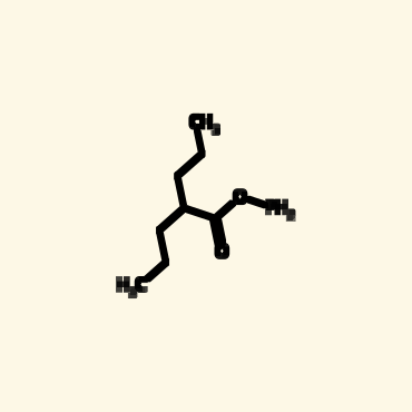 CCCC(CCC)C(=O)OP